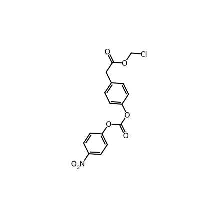 O=C(Cc1ccc(OC(=O)Oc2ccc([N+](=O)[O-])cc2)cc1)OCCl